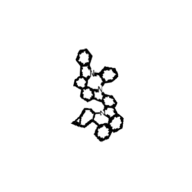 C1=C2C=C2C=C(c2ccccc2)C(n2c3ccccc3c3ccc4c(c5ccc6ccc7c8ccccc8n8c9ccccc9n4c5c6c78)c32)=C1